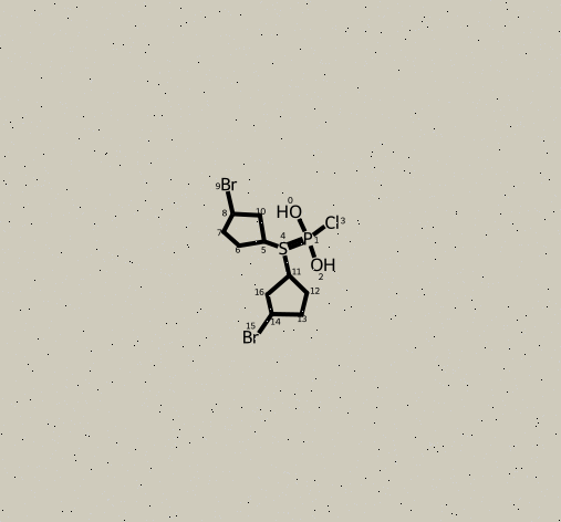 OP(O)(Cl)=S(C1CCC(Br)C1)C1CCC(Br)C1